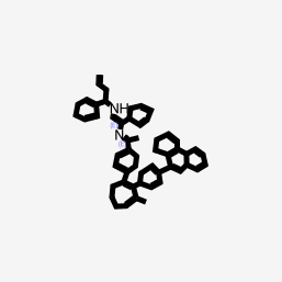 C=CCC(N/C=C(/N=C(\C)C1=CC=C(C2=C(C3C=CC(C4=CC5C=CC=CC5C5=C4CCC=C5)=CC3)C(C)=CCCC2)CC1)C1C=CC=CC1)C1=CCCC=C1